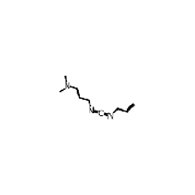 C=CCN=C=NCCCN(C)C